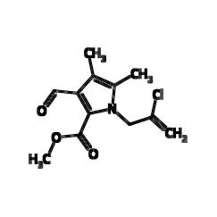 C=C(Cl)Cn1c(C)c(C)c(C=O)c1C(=O)OC